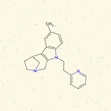 Cc1ccc2c(c1)c1c(n2CCc2ccccn2)CN2CCC1C2